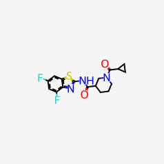 O=C(Nc1nc2c(F)cc(F)cc2s1)C1CCCN(C(=O)C2CC2)C1